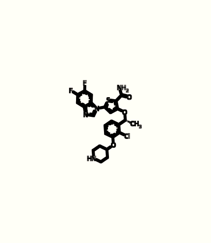 C[C@@H](Oc1cc(-n2cnc3cc(F)c(F)cc32)sc1C(N)=O)c1cccc(OC2CCNCC2)c1Cl